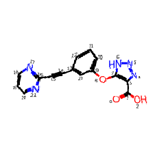 O=C(O)c1nn[nH]c1Oc1cccc(C#Cc2ncccn2)c1